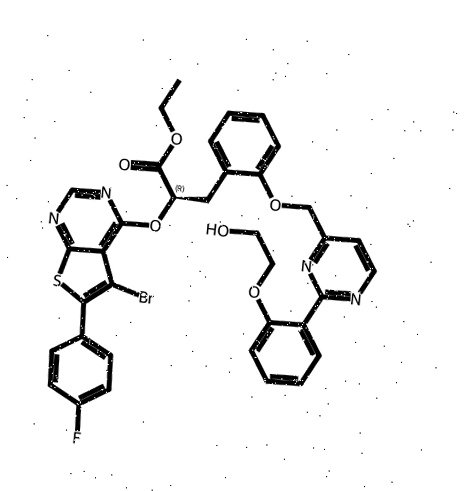 CCOC(=O)[C@@H](Cc1ccccc1OCc1ccnc(-c2ccccc2OCCO)n1)Oc1ncnc2sc(-c3ccc(F)cc3)c(Br)c12